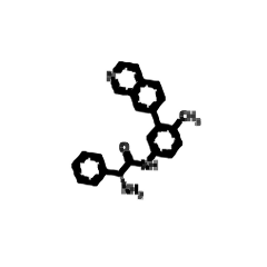 Cc1ccc(NC(=O)[C@H](N)c2ccccc2)cc1-c1ccc2ccncc2c1